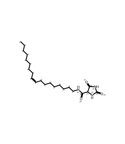 CCCCCCCC/C=C\CCCCCCCCNC(=O)C1NC(=O)NC1=O